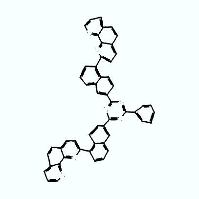 c1ccc(-c2nc(-c3ccc4c(-c5ccc6ccc7cccnc7c6n5)cccc4c3)nc(-c3ccc4c(-c5ccc6ccc7cccnc7c6n5)cccc4c3)n2)cc1